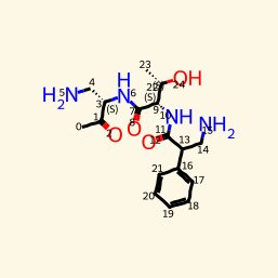 CC(=O)[C@H](CN)NC(=O)[C@@H](NC(=O)C(CN)c1ccccc1)[C@H](C)O